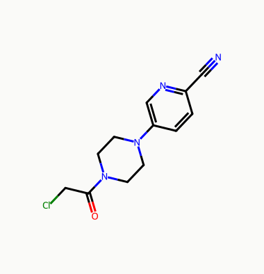 N#Cc1ccc(N2CCN(C(=O)CCl)CC2)cn1